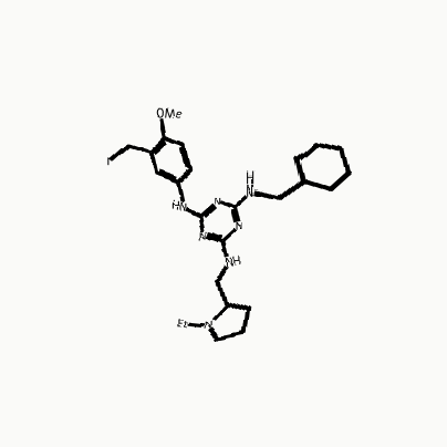 CCN1CCCC1CNc1nc(NCC2CCCCC2)nc(Nc2ccc(OC)c(CI)c2)n1